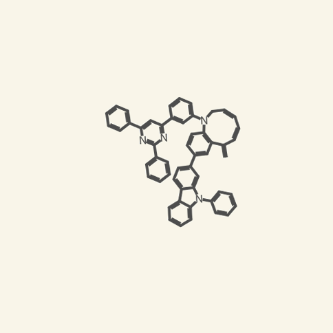 C=C1/C=C\C=C/CN(c2cccc(-c3cc(-c4ccccc4)nc(-c4ccccc4)n3)c2)c2ccc(-c3ccc4c5ccccc5n(-c5ccccc5)c4c3)cc21